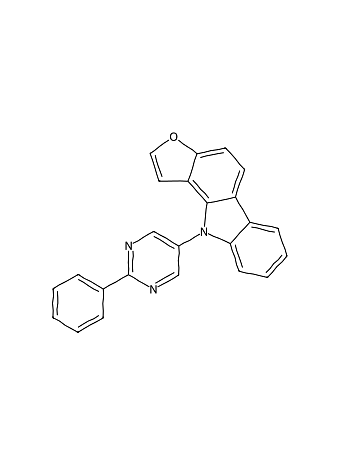 c1ccc(-c2ncc(-n3c4ccccc4c4ccc5occc5c43)cn2)cc1